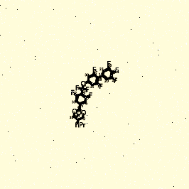 CCCC12COC(c3cc(F)c(C(F)(F)Oc4cc(F)c(-c5cc(F)c(F)c(F)c5)c(F)c4)c(F)c3)(OC1)OC2